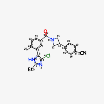 CCc1nc(Cl)c(-c2cc(C(=O)N3CC(c4ccc(C#N)cc4)C3)ccc2C)[nH]1